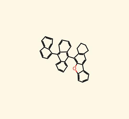 c1ccc2c(-c3c4ccccc4c(-c4c5c(cc6c4oc4ccccc46)CCCC5)c4ccccc34)cccc2c1